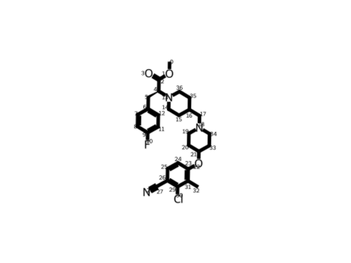 COC(=O)[C@H](Cc1ccc(F)cc1)N1CCC(CN2CCC(Oc3ccc(C#N)c(Cl)c3C)CC2)CC1